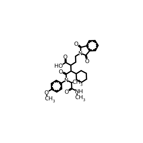 CNC(=O)C(C)N(C(=O)C(C1CCCCC1)C(CCN1C(=O)c2ccccc2C1=O)C(=O)O)c1ccc(OC)cc1